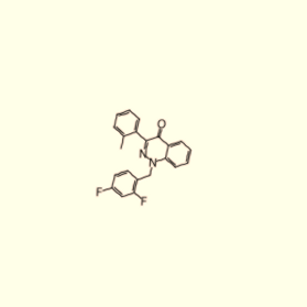 Cc1ccccc1-c1nn(Cc2ccc(F)cc2F)c2ccccc2c1=O